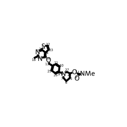 CNC(=O)OC1CCCN(c2ccc(COc3nc(C)nc4sccc34)cc2)C1